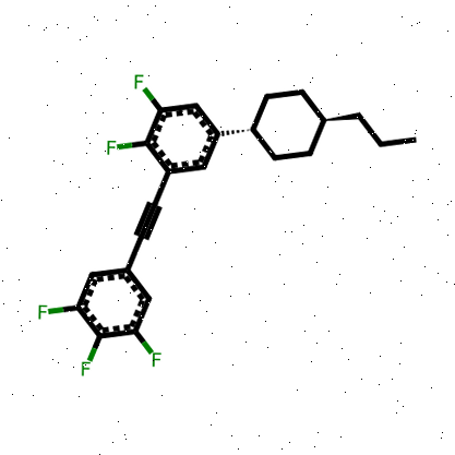 CCC[C@H]1CC[C@H](c2cc(F)c(F)c(C#Cc3cc(F)c(F)c(F)c3)c2)CC1